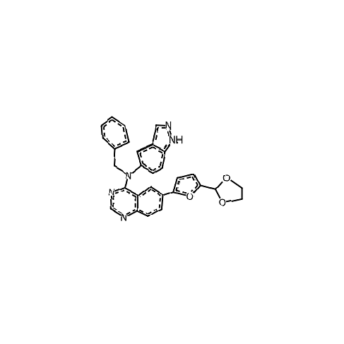 c1ccc(CN(c2ccc3[nH]ncc3c2)c2ncnc3ccc(-c4ccc(C5OCCO5)o4)cc23)cc1